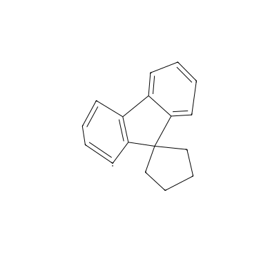 [c]1cccc2c1C1(CCCC1)c1ccccc1-2